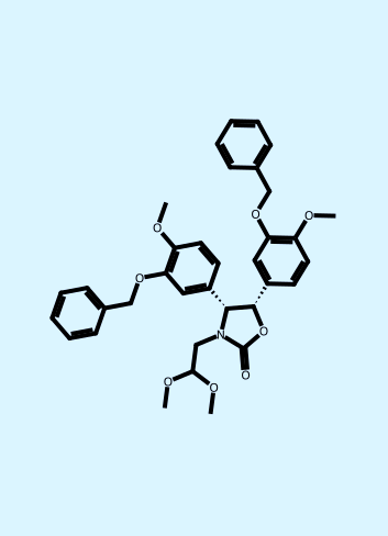 COc1ccc([C@@H]2[C@H](c3ccc(OC)c(OCc4ccccc4)c3)OC(=O)N2CC(OC)OC)cc1OCc1ccccc1